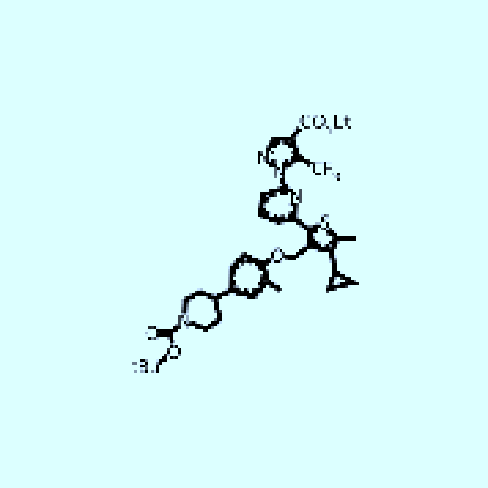 CCOC(=O)c1cnn(-c2cccc(-c3sc(C)c(C4CC4)c3COc3ccc(C4CCN(C(=O)OC(C)(C)C)CC4)cc3C)n2)c1C(F)(F)F